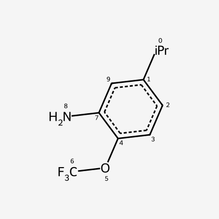 CC(C)c1ccc(OC(F)(F)F)c(N)c1